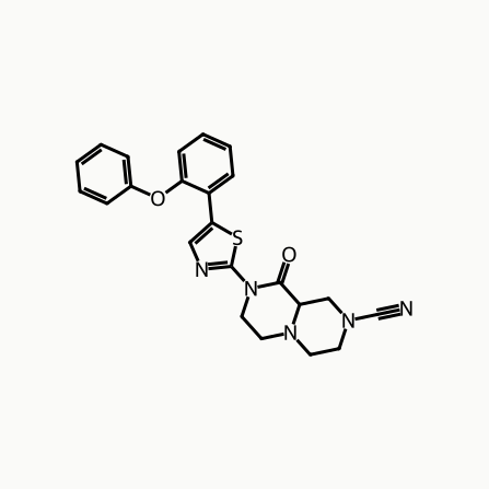 N#CN1CCN2CCN(c3ncc(-c4ccccc4Oc4ccccc4)s3)C(=O)C2C1